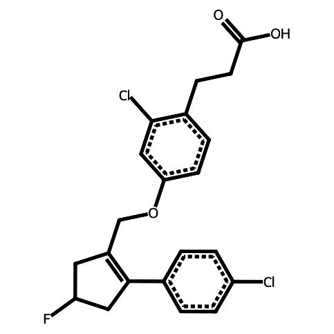 O=C(O)CCc1ccc(OCC2=C(c3ccc(Cl)cc3)CC(F)C2)cc1Cl